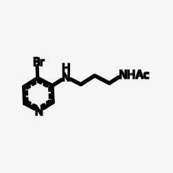 CC(=O)NCCCNc1cnccc1Br